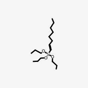 CCCCCCC=C[Si](OCCC)(OCCC)OCCC